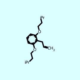 C=CCc1c(OCCC(C)C)cccc1OCCC(C)C